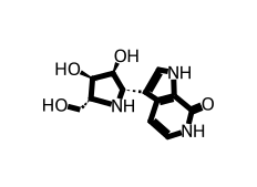 O=c1[nH]ccc2c([C@@H]3N[C@H](CO)[C@@H](O)[C@H]3O)c[nH]c12